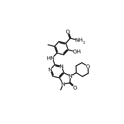 Cc1cc(C(N)=O)c(O)cc1Nc1ncc2c(n1)n(C1CCOCC1)c(=O)n2C